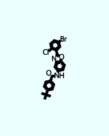 CC(C)(C)c1ccc(C(=O)Nc2ccc3oc(-c4cc(Br)ccc4Cl)nc3c2)cc1